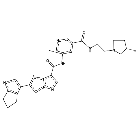 Cc1ncc(C(=O)NCCN2CC[C@H](C)C2)cc1NC(=O)c1cnn2cc(-c3cnn4c3CCC4)sc12